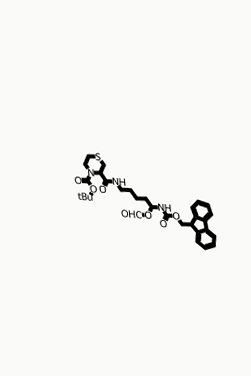 CC(C)(C)OC(=O)N1CCSCC1C(=O)NCCCCC(NC(=O)OCC1c2ccccc2-c2ccccc21)OC=O